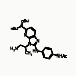 CCCCN(CCCC)c1ccc2nc(Nc3ccc(NC(C)=O)cc3)n(C(C)CN)c2n1